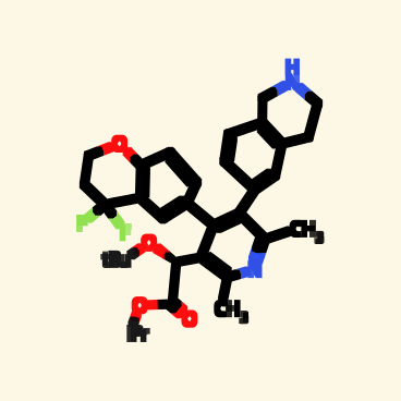 Cc1nc(C)c([C@H](OC(C)(C)C)C(=O)OC(C)C)c(-c2ccc3c(c2)C(F)(F)CCO3)c1-c1ccc2c(c1)CCNC2